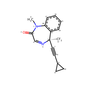 CN1C(=O)C=N[C@@](C#CC2CC2)(C(F)(F)F)c2ccccc21